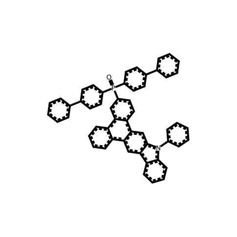 O=P(c1ccc(-c2ccccc2)cc1)(c1ccc(-c2ccccc2)cc1)c1ccc2c(c1)c1ccccc1c1cc3c4ccccc4n(-c4ccccc4)c3cc21